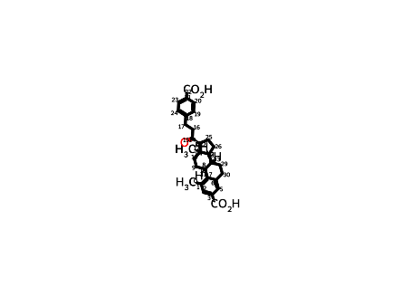 Cc1cc(C(=O)O)cc2c1[C@H]1CC[C@]3(C)[C@@H](C(=O)CCc4ccc(C(=O)O)cc4)CC[C@H]3[C@@H]1CC2